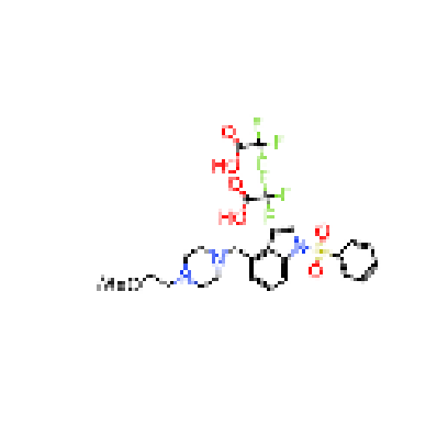 COCCN1CCN(Cc2cccc3c2ccn3S(=O)(=O)c2ccccc2)CC1.O=C(O)C(F)(F)F.O=C(O)C(F)(F)F